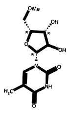 COC[C@H]1O[C@@H](n2cc(C)c(=O)[nH]c2=O)C(O)[C@H]1O